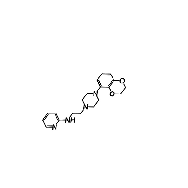 c1ccc(NCCN2CCN(c3cccc4c3OCCO4)CC2)nc1